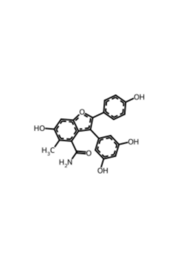 Cc1c(O)cc2oc(-c3ccc(O)cc3)c(-c3cc(O)cc(O)c3)c2c1C(N)=O